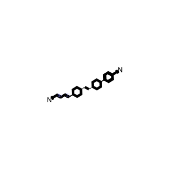 N#C/C=C/C=C/[C@H]1CC[C@H](CC[C@H]2CC[C@H](c3ccc(C#N)cc3)CC2)CC1